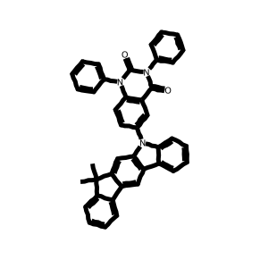 CC1(C)c2ccccc2-c2cc3c4ccccc4n(-c4ccc5c(c4)c(=O)n(-c4ccccc4)c(=O)n5-c4ccccc4)c3cc21